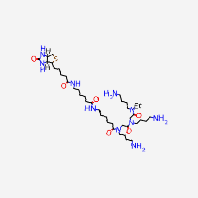 CCN(CCCCN)C(=O)CN(CCCCN)C(=O)CN(CCCCN)C(=O)CCCCCNC(=O)CCCCCNC(=O)CCCCC1SC[C@H]2NC(=O)N[C@@H]12